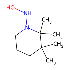 CC1(C)CCCN(NO)C1(C)C